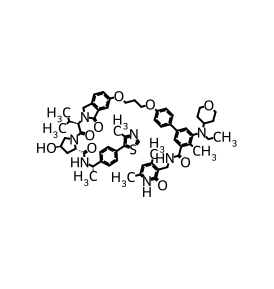 CCN(c1cc(-c2ccc(OCCCOc3ccc4c(c3)C(=O)N([C@@H](C(=O)N3C[C@H](O)C[C@H]3C(=O)N[C@@H](C)c3ccc(-c5scnc5C)cc3)C(C)C)C4)cc2)cc(C(=O)NCc2c(C)cc(C)[nH]c2=O)c1C)C1CCOCC1